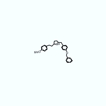 COc1ccc(CCC2CCC(Cc3ccc(OCc4ccccc4)cc3)N2)cc1